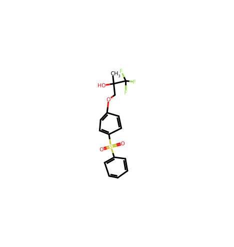 CC(O)(COc1ccc(S(=O)(=O)c2ccccc2)cc1)C(F)(F)F